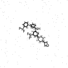 FC(F)c1cccc(-n2cnc(Nc3cc(C(F)F)cc(N4CCN(C5COC5)CC4)n3)n2)c1